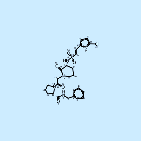 O=C(NCc1ccccc1)[C@@H]1CCCN1C(=O)CN1CCC[C@H](NS(=O)(=O)/C=C/c2ccc(Cl)s2)C1=O